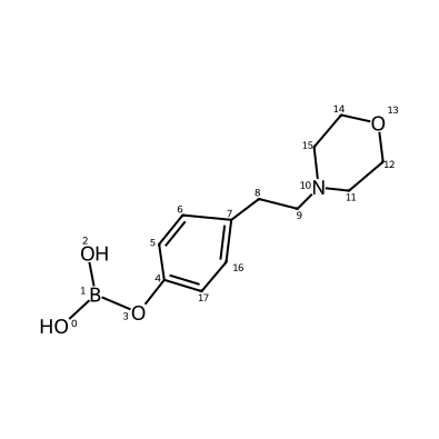 OB(O)Oc1ccc(CCN2CCOCC2)cc1